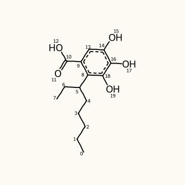 CCCCCC(CC)c1c(C(=O)O)cc(O)c(O)c1O